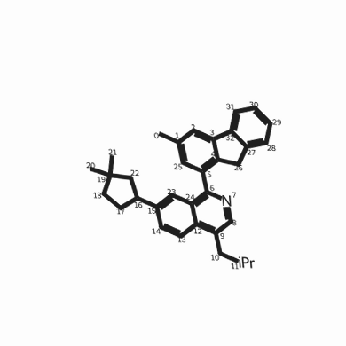 Cc1cc2c(c(-c3ncc(CC(C)C)c4ccc(C5CCC(C)(C)C5)cc34)c1)Cc1ccccc1-2